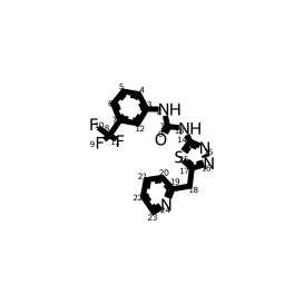 O=C(Nc1cccc(C(F)(F)F)c1)Nc1nnc(Cc2ccccn2)s1